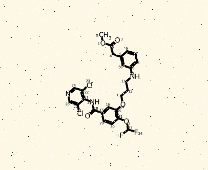 COC(=O)Cc1cccc(NCCCOc2cc(C(=O)Nc3c(Cl)cncc3Cl)ccc2OC(F)F)c1